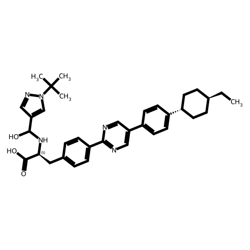 CC[C@H]1CC[C@H](c2ccc(-c3cnc(-c4ccc(C[C@H](NC(O)c5cnn(C(C)(C)C)c5)C(=O)O)cc4)nc3)cc2)CC1